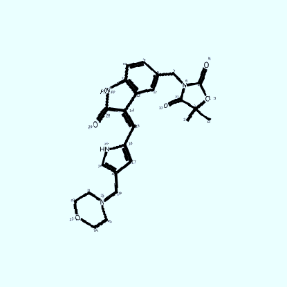 CC1(C)OC(=O)N(Cc2ccc3c(c2)C(=Cc2cc(CN4CCOCC4)c[nH]2)C(=O)N3)C1=O